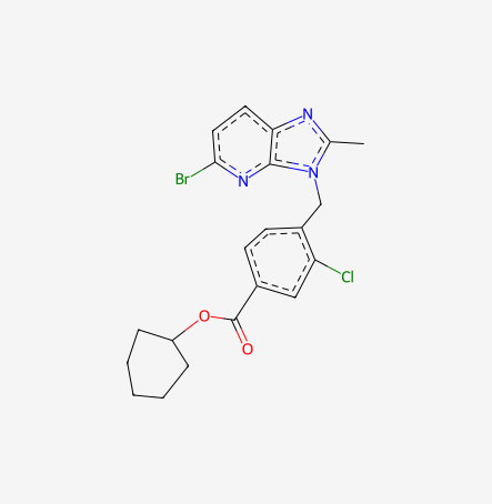 Cc1nc2ccc(Br)nc2n1Cc1ccc(C(=O)OC2CCCCC2)cc1Cl